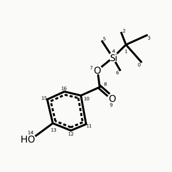 CC(C)(C)[Si](C)(C)OC(=O)c1ccc(O)cc1